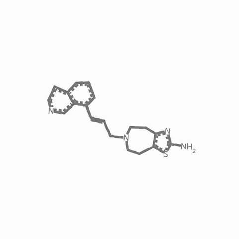 Nc1nc2c(s1)CCN(C/C=C/c1cccc3ccncc13)CC2